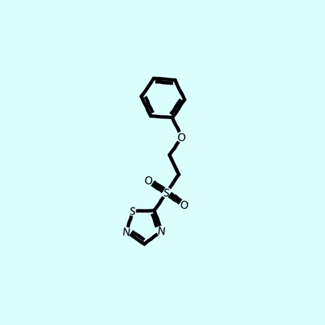 O=S(=O)(CCOc1ccccc1)c1ncns1